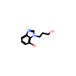 OCCCn1cnc2cccc(Br)c21